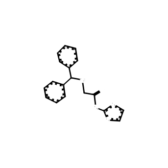 O=C(CNC(c1ccccc1)c1ccccc1)Nc1ncc[nH]1